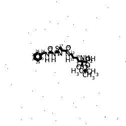 CC(C)(C)OC(=O)C(N)(CCCCNC(=O)c1csc(NC(=O)NCc2ccccc2)n1)C(=O)O